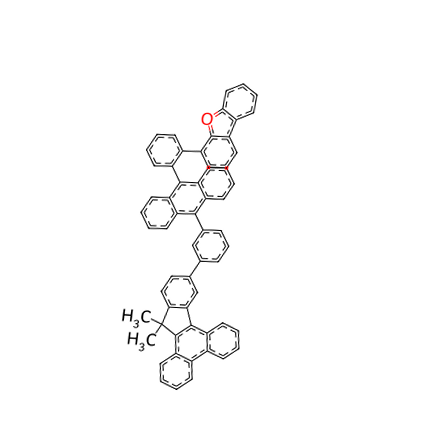 CC1(C)c2ccc(-c3cccc(-c4c5ccccc5c(-c5ccccc5-c5cccc6c5oc5ccccc56)c5ccccc45)c3)cc2-c2c1c1ccccc1c1ccccc21